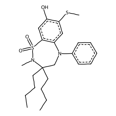 CCCCC1(CCCC)CN(c2ccccc2)c2cc(SC)c(O)cc2S(=O)(=O)N1C